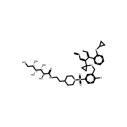 C=N/C=C(\C(=C/C)c1ccccc1OC1CC1)C1(OCc2cc(S(=O)(=O)N3CCC(CCNC(=O)[C@@H](O)[C@@H](O)[C@H](O)[C@@H](O)CO)CC3)ccc2Cl)CC1